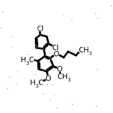 CCCCOc1c(OC)c(OC)cc(C)c1C1=C(Cl)[CH]C(Cl)C=C1